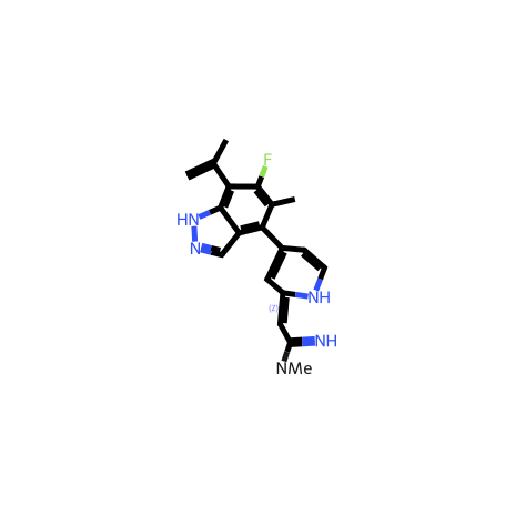 C=C(C)c1c(F)c(C)c(C2=C/C(=C/C(=N)NC)NC=C2)c2cn[nH]c12